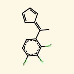 CC(=C1C=CC=C1)c1ccc(F)c(F)c1F